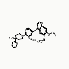 COc1cc2nncc(-c3cnc(N4CCC(O)(c5ccccn5)CC4)c(C)c3)c2cc1OC